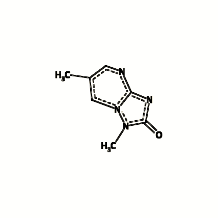 Cc1cnc2nc(=O)n(C)n2c1